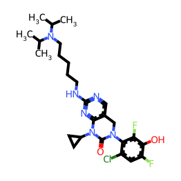 CC(C)N(CCCCCNc1ncc2c(n1)N(C1CC1)C(=O)N(c1c(Cl)cc(F)c(O)c1F)C2)C(C)C